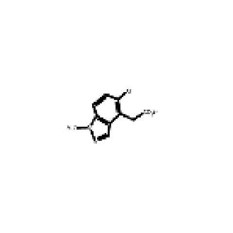 Cn1ncc2c(CC(=O)O)c(Cl)ccc21